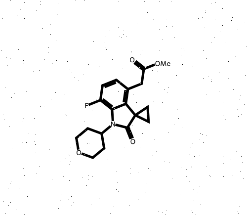 COC(=O)Cc1ccc(F)c2c1C1(CC1)C(=O)N2C1CCOCC1